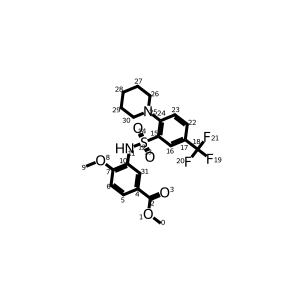 COC(=O)c1ccc(OC)c(NS(=O)(=O)c2cc(C(F)(F)F)ccc2N2CCCCC2)c1